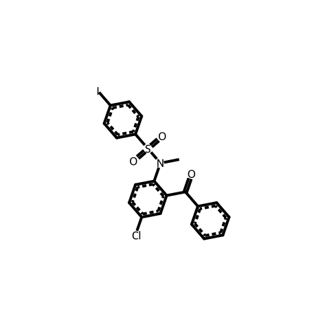 CN(c1ccc(Cl)cc1C(=O)c1ccccc1)S(=O)(=O)c1ccc(I)cc1